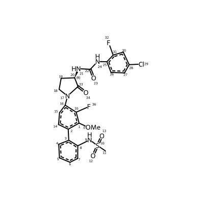 COc1c(-c2ccccc2NS(C)(=O)=O)ccc(N2CC[C@@H](NC(=O)Nc3ccc(Cl)cc3F)C2=O)c1F